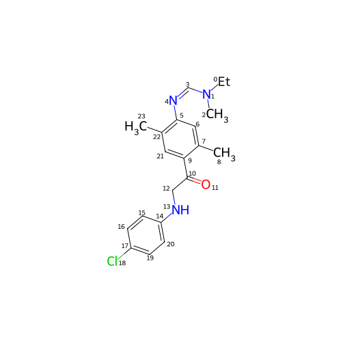 CCN(C)/C=N\c1cc(C)c(C(=O)CNc2ccc(Cl)cc2)cc1C